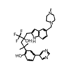 CN1CCN(Cc2ccc3[nH]c(CC(O)(CC(C)(C)c4cc(-c5cncnc5)ccc4O)C(F)(F)F)cc3c2)CC1